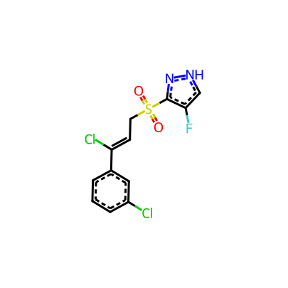 O=S(=O)(CC=C(Cl)c1cccc(Cl)c1)c1n[nH]cc1F